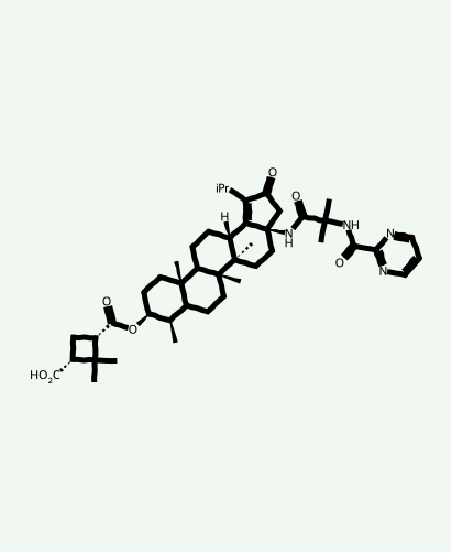 CC(C)C1=C2[C@H]3CCC4[C@@]5(C)CC[C@H](OC(=O)[C@H]6C[C@@H](C(=O)O)C6(C)C)[C@H](C)C5CC[C@@]4(C)[C@]3(C)CC[C@@]2(NC(=O)C(C)(C)NC(=O)c2ncccn2)CC1=O